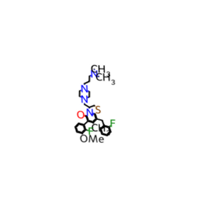 COc1cccc(-c2c(C)c(Cc3ccccc3F)c3n(c2=O)C(CN2CCN(CCCN(C)C)CC2)CS3)c1F